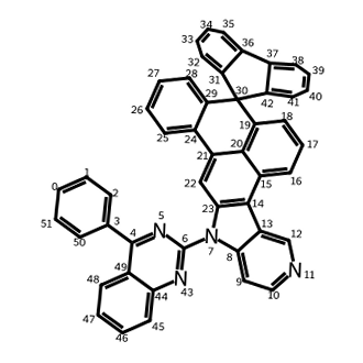 c1ccc(-c2nc(-n3c4ccncc4c4c5cccc6c5c(cc43)-c3ccccc3C63c4ccccc4-c4ccccc43)nc3ccccc23)cc1